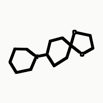 C1CCN(C2CCC3(CC2)OCCO3)CC1